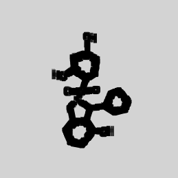 O=S(=O)(c1ccc(O)cc1O)N1Cc2cccc(O)c2C1c1ccccc1